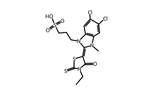 CCN1C(=O)C(=C2N(C)c3cc(Cl)c(Cl)cc3N2CCCS(=O)(=O)O)SC1=S